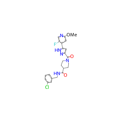 COc1cc(-c2cc(C(=O)N3CCC(C(=O)NCc4cccc(Cl)c4)CC3)n[nH]2)c(F)cn1